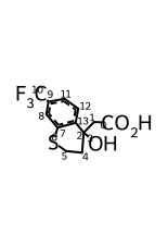 O=C(O)CC1(O)CCSc2cc(C(F)(F)F)ccc21